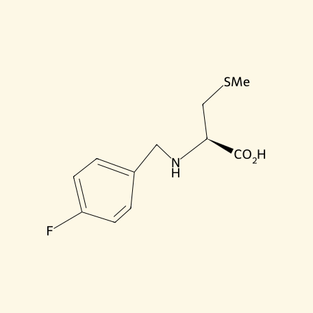 CSC[C@H](NCc1ccc(F)cc1)C(=O)O